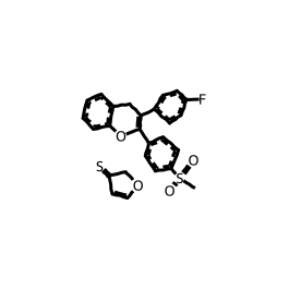 CS(=O)(=O)c1ccc(C2=C(c3ccc(F)cc3)Cc3ccccc3O2)cc1.S=C1C=COC1